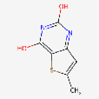 Cc1cc2nc(O)nc(O)c2s1